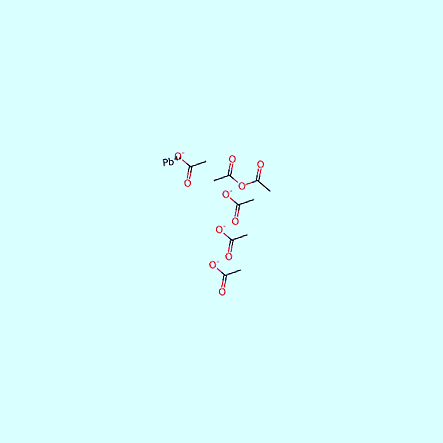 CC(=O)OC(C)=O.CC(=O)[O-].CC(=O)[O-].CC(=O)[O-].CC(=O)[O-].[Pb+4]